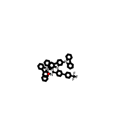 FC(F)(F)c1ccc(-c2ccc(-c3nc(-c4ccccc4)nc(-c4ccccc4)n3)c(-n3c4cc(-n5c6ccccc6c6ccccc65)ccc4c4ccc(-n5c6ccccc6c6ccccc65)cc43)c2)cc1